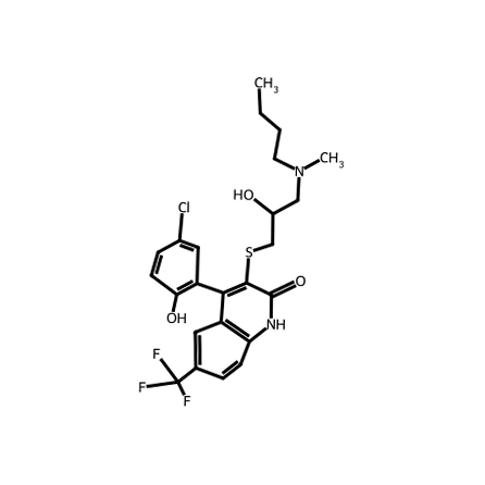 CCCCN(C)CC(O)CSc1c(-c2cc(Cl)ccc2O)c2cc(C(F)(F)F)ccc2[nH]c1=O